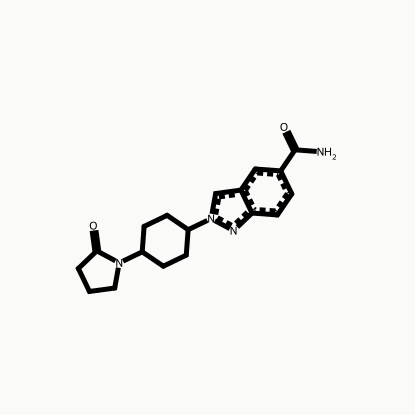 NC(=O)c1ccc2nn(C3CCC(N4CCCC4=O)CC3)cc2c1